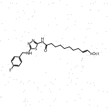 CCCCCCCC/C=C/CCCCCCCC(=O)Nc1nnc(NCc2ccc(F)cc2)s1